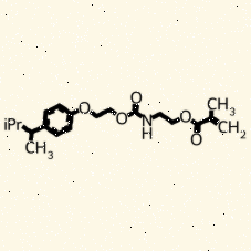 C=C(C)C(=O)OCCNC(=O)OCCOc1ccc(C(C)C(C)C)cc1